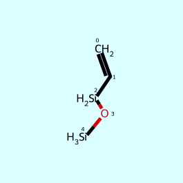 C=C[SiH2]O[SiH3]